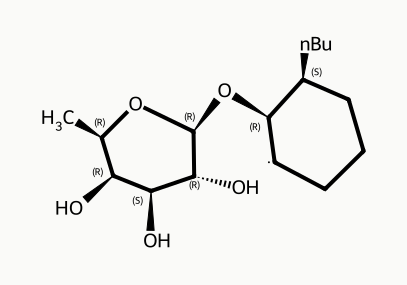 CCCC[C@H]1CCC[CH][C@H]1O[C@@H]1O[C@H](C)[C@H](O)[C@H](O)[C@H]1O